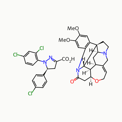 COc1cc2c(cc1OC)[C@@]13CCN4CC5=CCO[C@H]6CC(=O)N2[C@H]1[C@H]6[C@H]5C[C@H]43.O=C(O)C1=NN(c2ccc(Cl)cc2Cl)[C@H](c2ccc(Cl)cc2)C1